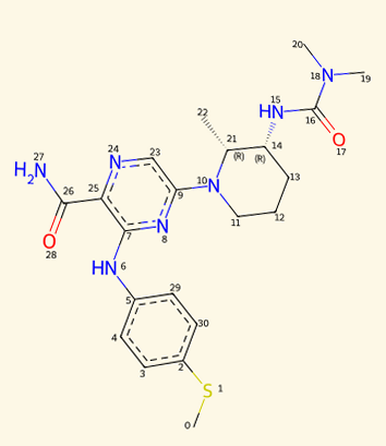 CSc1ccc(Nc2nc(N3CCC[C@@H](NC(=O)N(C)C)[C@H]3C)cnc2C(N)=O)cc1